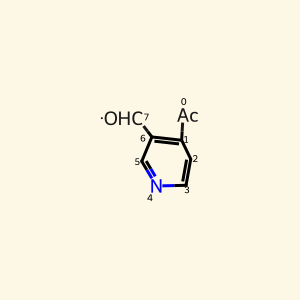 CC(=O)c1ccncc1[C]=O